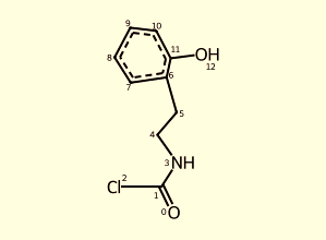 O=C(Cl)NCCc1ccccc1O